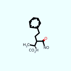 C[C@H](C(=O)O)C(CCc1ccccc1)C(=O)N=O